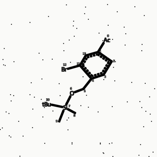 CC(=O)c1ccc(CO[Si](C)(C)C(C)(C)C)c(Br)c1